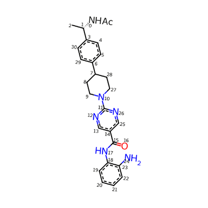 CC(=O)N[C@@H](C)c1ccc(C2CCN(c3ncc(C(=O)Nc4ccccc4N)cn3)CC2)cc1